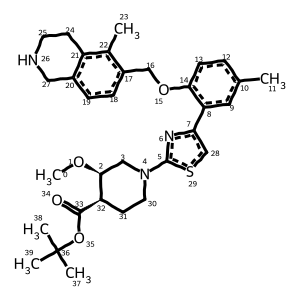 CO[C@H]1CN(c2nc(-c3cc(C)ccc3OCc3ccc4c(c3C)CCNC4)cs2)CC[C@H]1C(=O)OC(C)(C)C